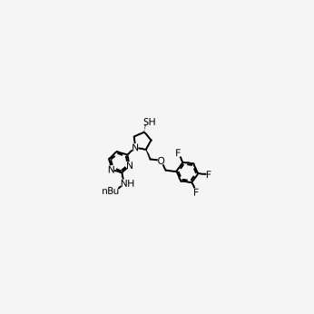 CCCCNc1nccc(N2C[C@H](S)C[C@H]2COCc2cc(F)c(F)cc2F)n1